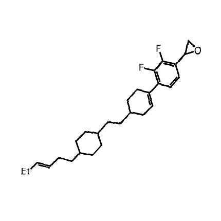 CC/C=C/CCC1CCC(CCC2CC=C(c3ccc(C4CO4)c(F)c3F)CC2)CC1